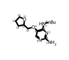 CCCCNc1nc(N)ncc1OCC1CCCO1